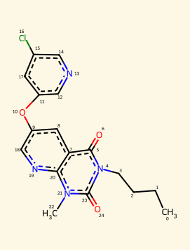 CCCCn1c(=O)c2cc(Oc3cncc(Cl)c3)cnc2n(C)c1=O